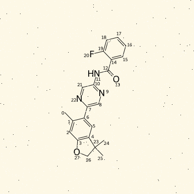 Cc1cc2c(cc1-c1cnc(NC(=O)c3ccccc3F)cn1)C(C)(C)CO2